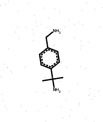 CC(C)(N)c1ccc(CN)cc1